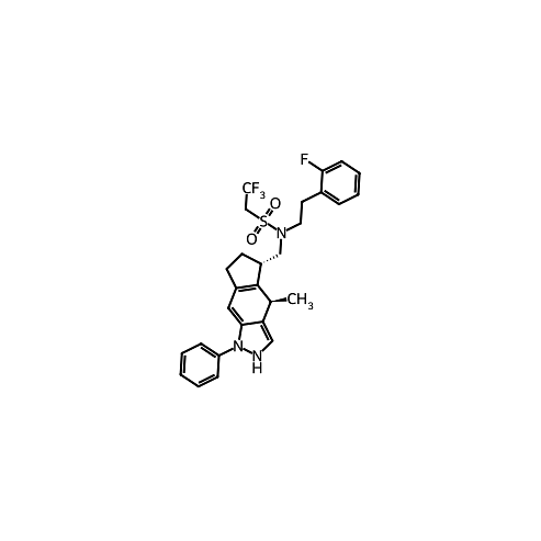 C[C@H]1C2=CNN(c3ccccc3)C2=CC2=C1[C@@H](CN(CCc1ccccc1F)S(=O)(=O)CC(F)(F)F)CC2